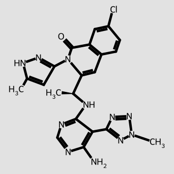 Cc1cc(-n2c([C@H](C)Nc3ncnc(N)c3-c3nnn(C)n3)cc3ccc(Cl)cc3c2=O)n[nH]1